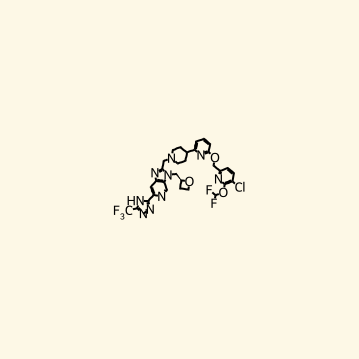 FC(F)Oc1nc(COc2cccc(C3CCN(Cc4nc5cc(-c6nnc(C(F)(F)F)[nH]6)ncc5n4C[C@@H]4CCO4)CC3)n2)ccc1Cl